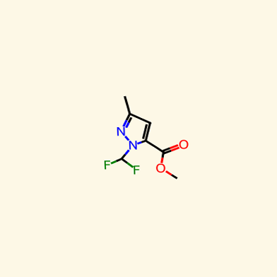 COC(=O)c1cc(C)nn1C(F)F